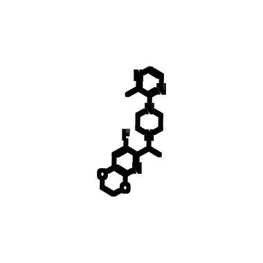 Cc1nccnc1N1CCN(C(C)c2nc3c(cc2F)OCCO3)CC1